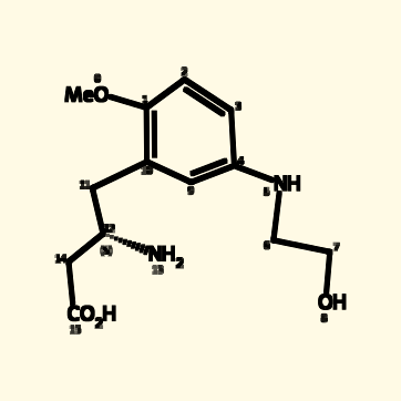 COc1ccc(NCCO)cc1C[C@H](N)CC(=O)O